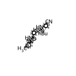 CCCC[C@@H](NC(=O)Nc1cccc(C#N)c1)c1cccc(C(=O)Nc2nc3c(s2)CN(C)CC3)c1